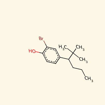 CCCC(c1ccc(O)c(Br)c1)C(C)(C)C